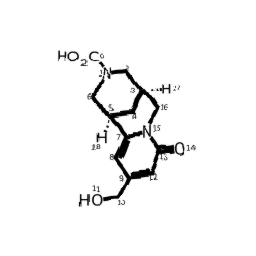 O=C(O)N1C[C@@H]2C[C@H](C1)c1cc(CO)cc(=O)n1C2